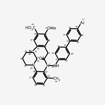 COc1cc(CC(=O)N(Nc2ccc(-c3ccc(C(C)=O)cc3)cc2)c2c(C)cccc2N2CCCCC2)c(Br)cc1C(=O)O